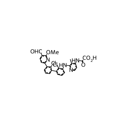 COc1nc(-c2cccc(-c3cccc(Nc4nccc(NC(=O)C(=O)O)c4C)c3Cl)c2Cl)ccc1C=O